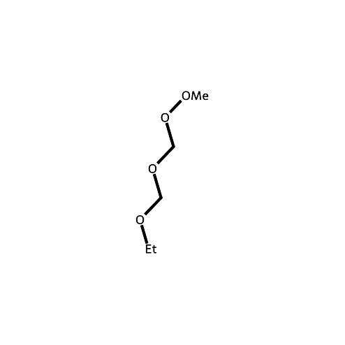 CCOCOCOOC